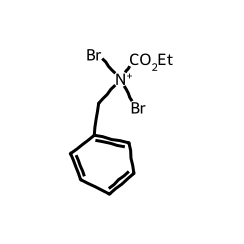 CCOC(=O)[N+](Br)(Br)Cc1ccccc1